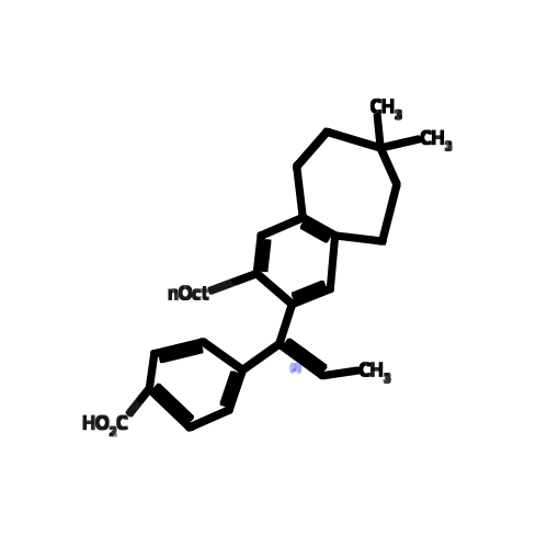 C/C=C(/c1ccc(C(=O)O)cc1)c1cc2c(cc1CCCCCCCC)CCC(C)(C)CC2